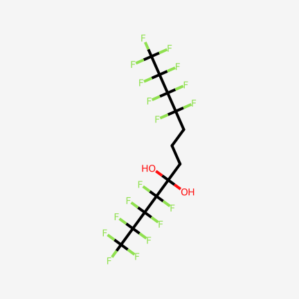 OC(O)(CCCC(F)(F)C(F)(F)C(F)(F)C(F)(F)F)C(F)(F)C(F)(F)C(F)(F)C(F)(F)F